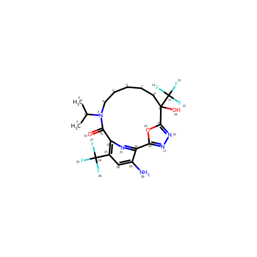 CC(C)N1CCCCCC(O)(C(F)(F)F)c2nnc(o2)-c2nc(c(C(F)(F)F)cc2N)C1=O